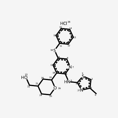 Cc1csc(Nc2ncc(Sc3ccccc3)cc2C2CC(CO)CCO2)n1.Cl